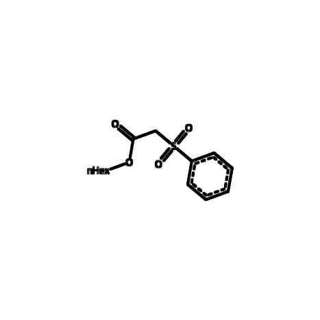 CCCCCCOC(=O)CS(=O)(=O)c1ccccc1